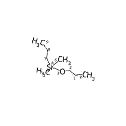 C[CH]CO[Si](C)(C)CCC